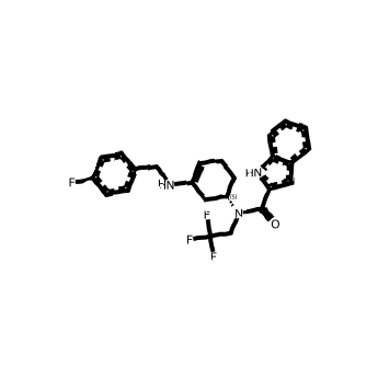 O=C(c1cc2ccccc2[nH]1)N(CC(F)(F)F)[C@H]1CCC=C(NCc2ccc(F)cc2)C1